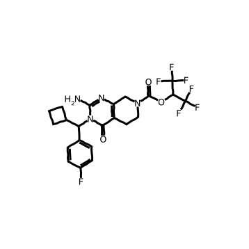 Nc1nc2c(c(=O)n1C(c1ccc(F)cc1)C1CCC1)CCN(C(=O)OC(C(F)(F)F)C(F)(F)F)C2